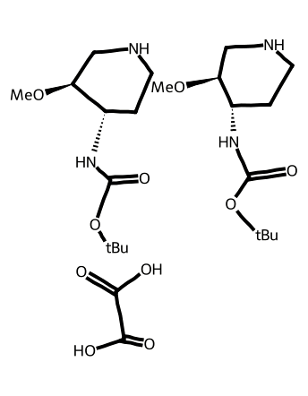 CO[C@H]1CNCC[C@@H]1NC(=O)OC(C)(C)C.CO[C@H]1CNCC[C@@H]1NC(=O)OC(C)(C)C.O=C(O)C(=O)O